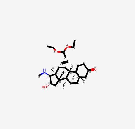 C=C.CCOC(C)OCC.CN[C@@H]1[C@@H](O)C[C@H]2[C@@H]3CC[C@H]4CC(=O)CC[C@]4(C)[C@H]3CC[C@]12C